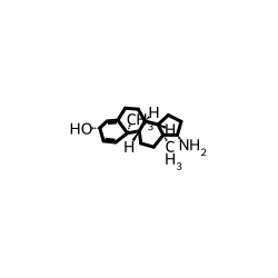 C[C@]12CC[C@H]3[C@@H](CCC4=C[C@@H](O)C=C[C@@]43C)[C@@H]1CC[C@@H]2N